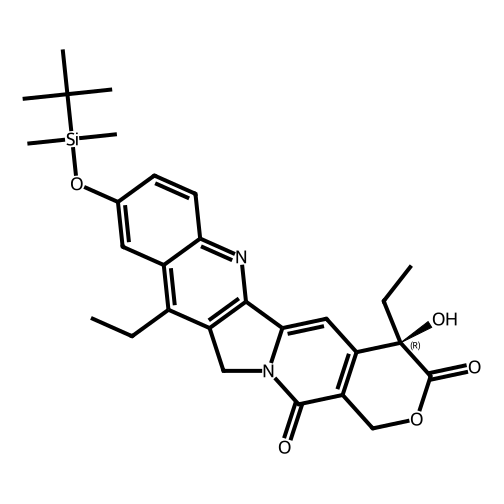 CCc1c2c(nc3ccc(O[Si](C)(C)C(C)(C)C)cc13)-c1cc3c(c(=O)n1C2)COC(=O)[C@@]3(O)CC